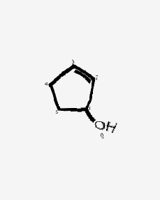 OC1C=[C]CC1